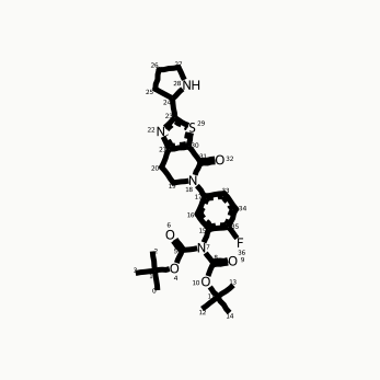 CC(C)(C)OC(=O)N(C(=O)OC(C)(C)C)c1cc(N2CCc3nc(C4CCCN4)sc3C2=O)ccc1F